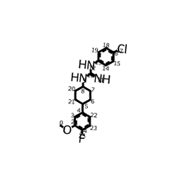 COc1cc(C2CCC(NC(=N)Nc3ccc(Cl)cc3)CC2)ccc1F